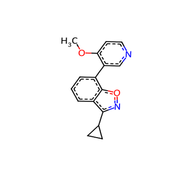 COc1ccncc1-c1cccc2c(C3CC3)noc12